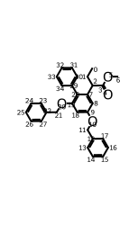 CCC(C(=O)OC)c1cc(OCc2ccccc2)cc(OCc2ccccc2)c1-c1ccccc1